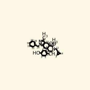 Cc1ccc(O)cc1[C@]12CCN(CC3CC3)[C@H](C)[C@]1(O)Cc1c(C)nn(Cc3ccccc3)c1C2